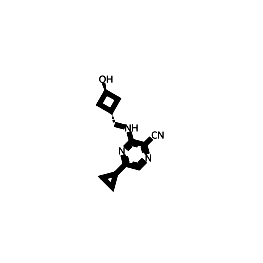 N#Cc1ncc(C2CC2)nc1NC[C@H]1C[C@H](O)C1